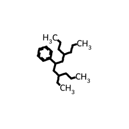 CCCC(CC)CC(CC(CCC)CCC)c1ccccc1